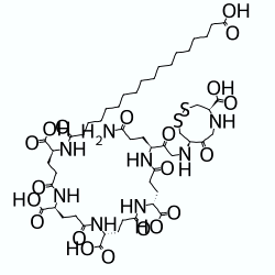 NC(=O)CC[C@H](NC(=O)CC[C@@H](NC(=O)CC[C@@H](NC(=O)CC[C@H](NC(=O)CC[C@H](NC(=O)CCCCCCCCCCCCCCCCC(=O)O)C(=O)O)C(=O)O)C(=O)O)C(=O)O)C(=O)CN[C@H]1CSSC[C@@H](C(=O)O)NCC1=O